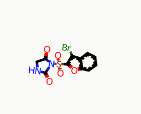 O=C1CNC(=O)N1S(=O)(=O)c1oc2ccccc2c1Br